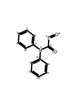 O=PC(=O)N(c1ccccc1)c1ccccc1